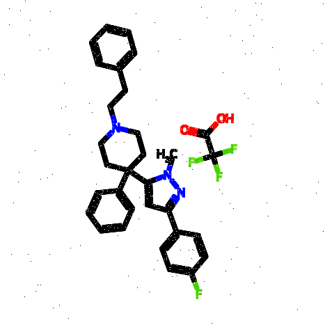 Cn1nc(-c2ccc(F)cc2)cc1C1(c2ccccc2)CCN(CCc2ccccc2)CC1.O=C(O)C(F)(F)F